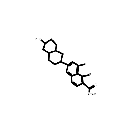 CCCC1CCC2CC(c3cc(F)c4c(F)c(C(=O)OC)ccc4c3)CCC2C1